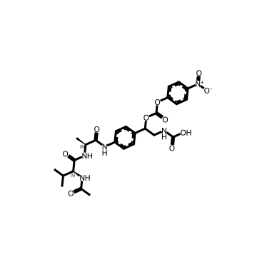 CC(=O)N[C@H](C(=O)N[C@@H](C)C(=O)Nc1ccc(C(CNC(=O)O)OC(=O)Oc2ccc([N+](=O)[O-])cc2)cc1)C(C)C